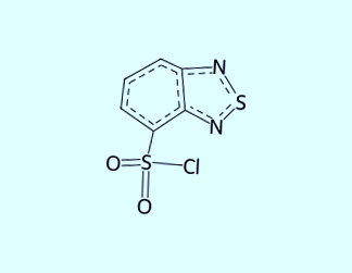 O=S(=O)(Cl)c1cccc2nsnc12